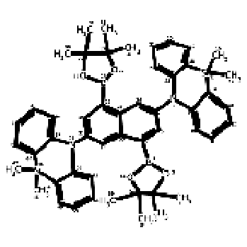 CC1(C)OB(c2cc(N3c4ccccc4[Si](C)(C)c4ccccc43)cc3c(B4OC(C)(C)C(C)(C)O4)cc(N4c5ccccc5[Si](C)(C)c5ccccc54)cc23)OC1(C)C